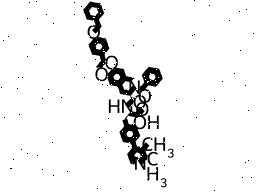 Cc1nccc(-c2ccc(C[C@H](NC(=O)[C@@H]3Cc4cc5c(cc4CN3C(=O)c3ccccc3)OC(c3ccc(OCC4CCCCC4)cc3)CO5)C(=O)O)cc2)c1C